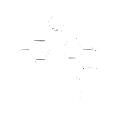 C=CCNC(=O)c1cc(-c2ccc(=O)n(CC)c2)c(-c2ccco2)nc1N